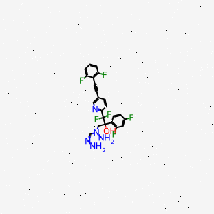 N/N=C\N(N)CC(O)(c1ccc(F)cc1F)C(F)(F)c1ccc(C#Cc2c(F)cccc2F)cn1